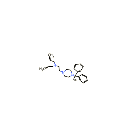 C=CCN(CC=C)CCN1CCN(C(C(C)=O)(c2ccccc2)c2ccccc2)CC1